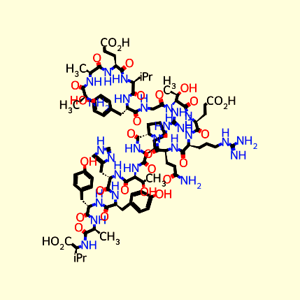 CC(C)[C@H](NC(=O)[C@H](C)NC(=O)[C@H](Cc1ccc(O)cc1)NC(=O)[C@H](Cc1ccc(O)cc1)NC(=O)[C@H](Cc1c[nH]cn1)NC(=O)[C@@H](NC(=O)[C@H](CCCNC(=N)N)NC(=O)[C@@H]1CCCN1C(=O)[C@H](CCC(N)=O)NC(=O)[C@H](CCCNC(=N)N)NC(=O)[C@H](CCC(=O)O)NC(=O)[C@@H](NC(=O)CNC(=O)[C@H](Cc1ccc(O)cc1)NC(=O)[C@@H](NC(=O)[C@H](CCC(=O)O)NC(=O)[C@H](C)NC(=O)[C@H](C)N)C(C)C)[C@@H](C)O)[C@@H](C)O)C(=O)O